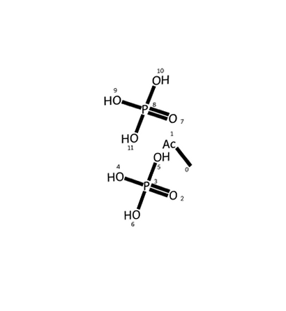 CC(C)=O.O=P(O)(O)O.O=P(O)(O)O